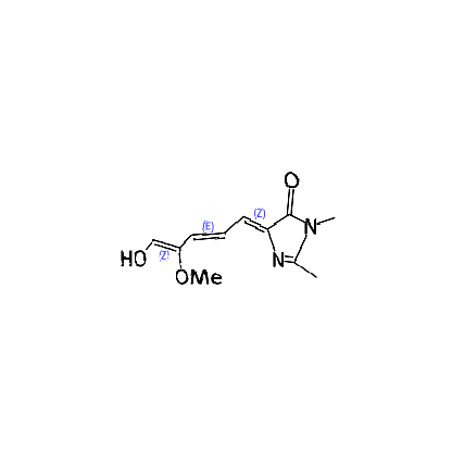 COC(=C\O)/C=C/C=C1\N=C(C)N(C)C1=O